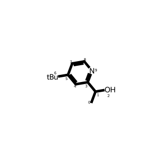 CC(O)c1cc(C(C)(C)C)ccn1